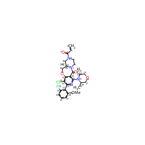 C=CC(=O)N1CCN2C(=O)c3c(N4C(C)COCC4C)nc(-c4c(F)cccc4OC)c(Cl)c3OC[C@H]2C1